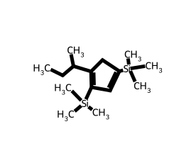 CCC(C)C1=C([Si](C)(C)C)C=C([Si](C)(C)C)C1